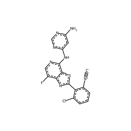 [C-]#[N+]c1cccc(Cl)c1-c1nc2c(F)cnc(Nc3cc(N)ncn3)c2s1